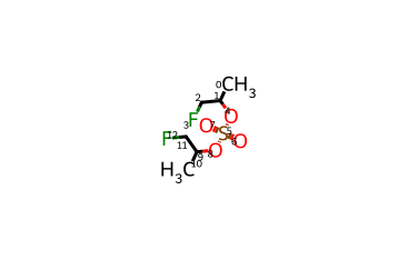 CC(CF)OS(=O)(=O)OC(C)CF